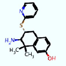 CC1(C)c2cc(O)ccc2C[C@@H](Sc2ccccn2)[C@@H]1N